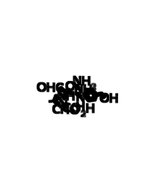 C[C@@H](CNC(C=O)CC[C@H](NC(N)=O)Nc1ccc(CO)cc1)C(C=O)NC(=O)O